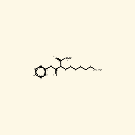 CCCCCCCCCCCCCCCCC(C(=O)Cc1ccccc1)C(=O)OC